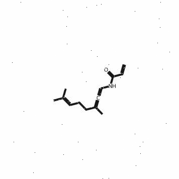 C=CC(=O)NC=C=C(C)CCC=C(C)C